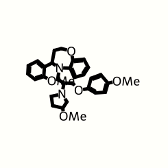 COc1ccc(OCC(CN2c3ccccc3OCCC2c2ccccc2OC)N2CCC(OC)C2)cc1